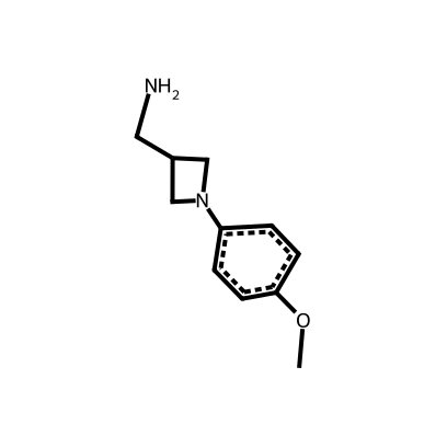 COc1ccc(N2CC(CN)C2)cc1